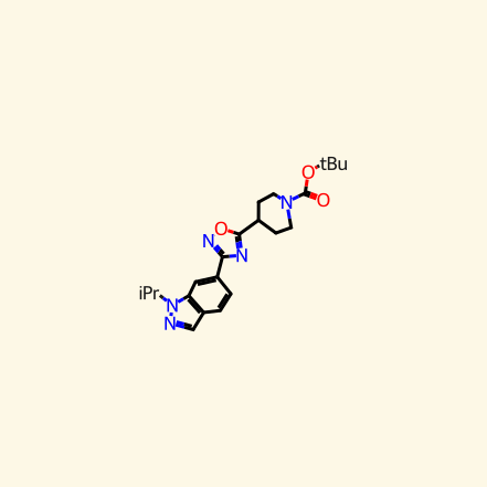 CC(C)n1ncc2ccc(-c3noc(C4CCN(C(=O)OC(C)(C)C)CC4)n3)cc21